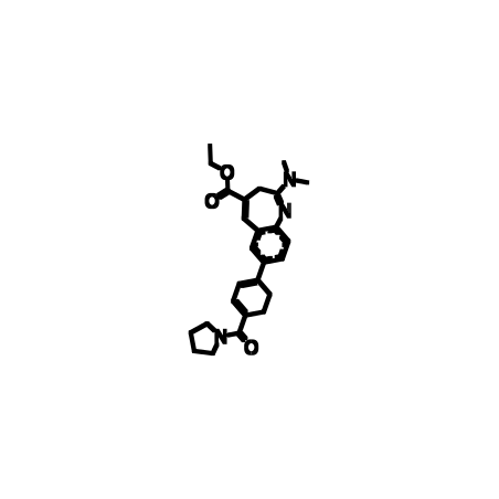 CCOC(=O)C1=Cc2cc(C3=CC=C(C(=O)N4CCCC4)CC3)ccc2N=C(N(C)C)C1